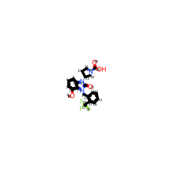 COc1cccc2c1n(Cc1ccccc1C(F)(F)F)c(=O)n2[C@@H]1CCN(C(=O)O)C1